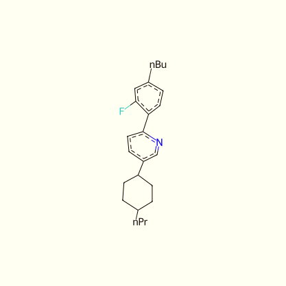 CCCCc1ccc(-c2ccc(C3CCC(CCC)CC3)cn2)c(F)c1